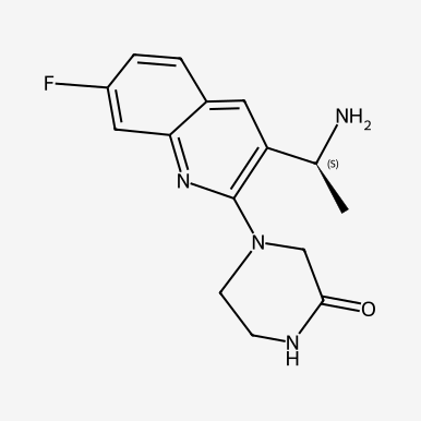 C[C@H](N)c1cc2ccc(F)cc2nc1N1CCNC(=O)C1